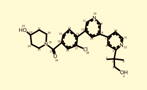 CC(C)(CO)c1cc(-c2cncc(-c3ccc(C(=O)N4CCC(O)CC4)cc3Cl)c2)ccn1